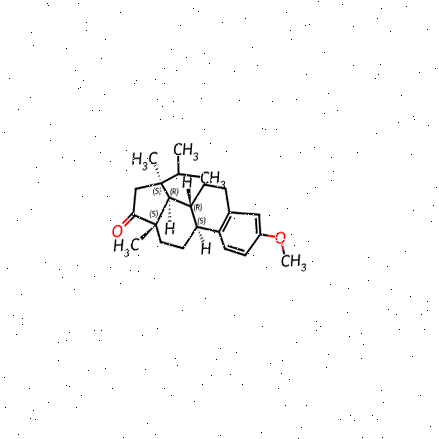 COc1ccc2c(c1)CC[C@@H]1[C@@H]2CC[C@]2(C)C(=O)C[C@@](C)(C(C)C)[C@@H]12